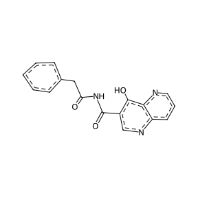 O=C(Cc1ccccc1)NC(=O)c1cnc2cccnc2c1O